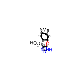 CSc1ccc(Oc2[nH]nnc2C(=O)O)cc1